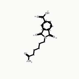 CC(=O)CCCCCN1C(=O)c2ccc(C(=O)O)cc2C1=O